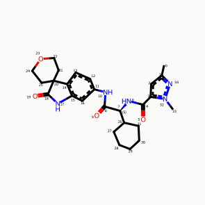 Cc1cc(C(=O)N[C@H](C(=O)Nc2ccc3c(c2)NC(=O)C32CCOCC2)C2CCCCC2)n(C)n1